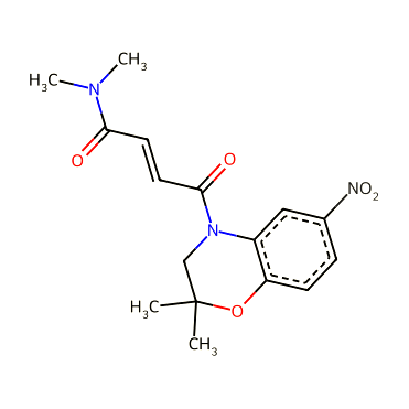 CN(C)C(=O)/C=C/C(=O)N1CC(C)(C)Oc2ccc([N+](=O)[O-])cc21